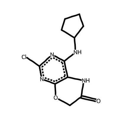 O=C1COc2nc(Cl)nc(NC3CCCC3)c2N1